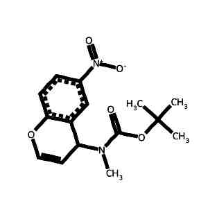 CN(C(=O)OC(C)(C)C)C1C=COc2ccc([N+](=O)[O-])cc21